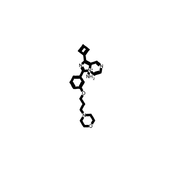 N[N+]12C=CN=CC1=C(C1=CC=C1)N=C2c1cccc(OCCCN2CCOCC2)c1